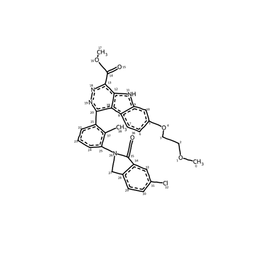 COCCOc1ccc2c(c1)[nH]c1c(C(=O)OC)nnc(-c3cccc(N4Cc5ccc(Cl)cc5C4=O)c3C)c12